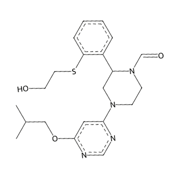 CC(C)COc1cc(N2CCN(C=O)C(c3ccccc3SCCO)C2)ncn1